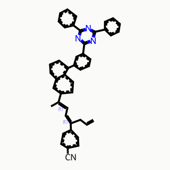 C=CC/C(=C\C=C(/C)c1ccc2c(-c3cccc(-c4nc(-c5ccccc5)nc(-c5ccccc5)n4)c3)cccc2c1)c1ccc(C#N)cc1